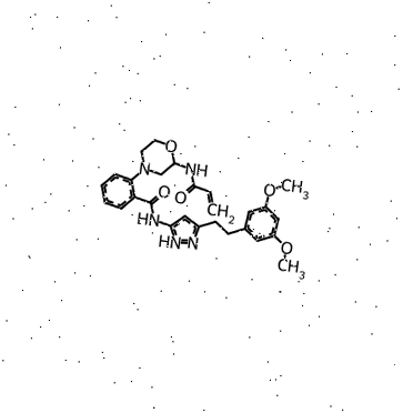 C=CC(=O)NC1CN(c2ccccc2C(=O)Nc2cc(CCc3cc(OC)cc(OC)c3)n[nH]2)CCO1